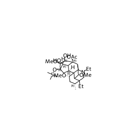 CCN1CC2(CC)C3C(OC)C4C1C3([C@@H](OC)C[C@H]2C)[C@H]1C[C@@]2(O[Si](C)(C)C)[C@H](O)C1[C@]4(OC(C)=O)[C@@H](O)[C@@H]2OC